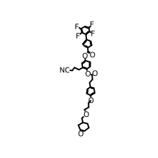 N#CCCCc1cc(OC(=O)c2ccc(-c3c(F)c(F)cc(F)c3F)cc2)ccc1OC(=O)CCc1ccc(OCCCOCC2CCC3OC3C2)cc1